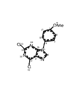 COc1ccc(-n2cnc3c(Cl)nc(Cl)nc32)cc1